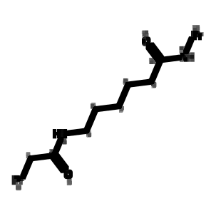 CC(C)CC(=O)NCCCCCC(=O)NC(C)C